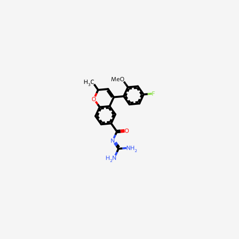 COc1cc(F)ccc1C1=CC(C)Oc2ccc(C(=O)N=C(N)N)cc21